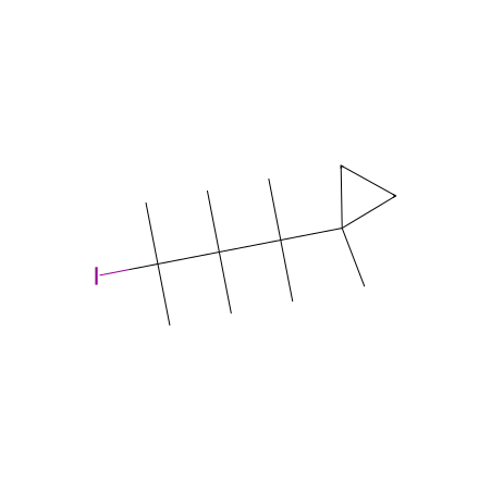 CC(C)(I)C(C)(C)C(C)(C)C1(C)CC1